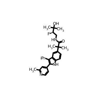 Cc1cc(-c2[nH]c3ccc(C(C)(C)C(=O)NC[C@@H](F)C(C)(C)O)cc3c2C(C)C)ccn1